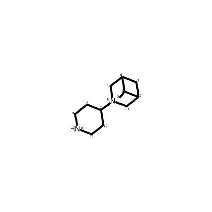 CC1C2CC1CN(C1CCNCC1)C2